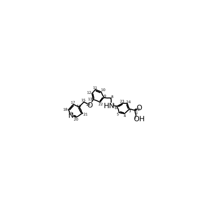 O=C(O)c1ccc(NCc2cccc(OCc3ccncc3)c2)cc1